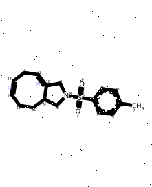 Cc1ccc(S(=O)(=O)N2C/C3=C/C/C=C\CCC3C2)cc1